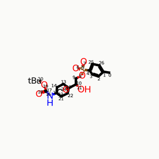 Cc1ccc(S(=O)(=O)OCC(O)C23CCC(NC(=O)OC(C)(C)C)(CC2)CO3)cc1